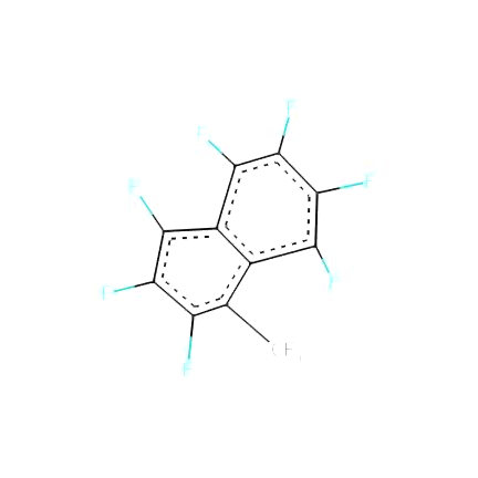 Fc1c(F)c(F)c2c(C(F)(F)F)c(F)c(F)c(F)c2c1F